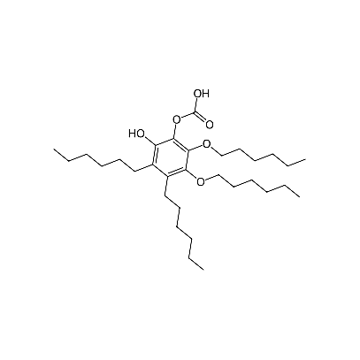 CCCCCCOc1c(CCCCCC)c(CCCCCC)c(O)c(OC(=O)O)c1OCCCCCC